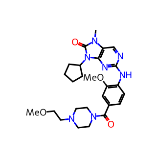 COCCN1CCN(C(=O)c2ccc(Nc3ncc4c(n3)n(C3CCCC3)c(=O)n4C)c(OC)c2)CC1